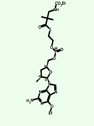 CCOC(=O)NCC(C)(C)C(=O)SCCO[PH](=O)OC[C@@H]1C[C@H](C)[C@H](n2cnc3c(OCC)nc(N)nc32)O1